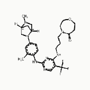 Cc1cc(N2C[C@H]3C[C@@H]2CN3C)ccc1Nc1ncc(C(F)(F)F)c(NCCCN2CCOCCC2=O)n1